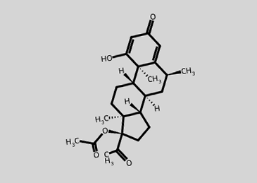 CC(=O)O[C@]1(C(C)=O)CC[C@H]2[C@@H]3C[C@H](C)C4=CC(=O)C=C(O)[C@]4(C)[C@H]3CC[C@@]21C